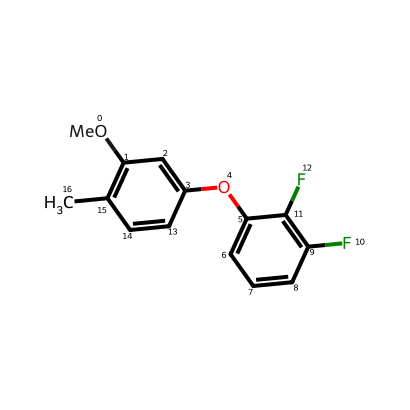 COc1cc(Oc2cccc(F)c2F)ccc1C